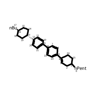 CCCCCC1CC=C(c2ccc(-c3ccc([C@H]4CC[C@H](CCCC)CC4)cc3)cc2)CC1